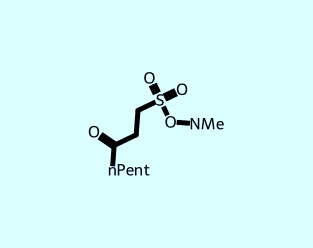 CCCCCC(=O)CCS(=O)(=O)ONC